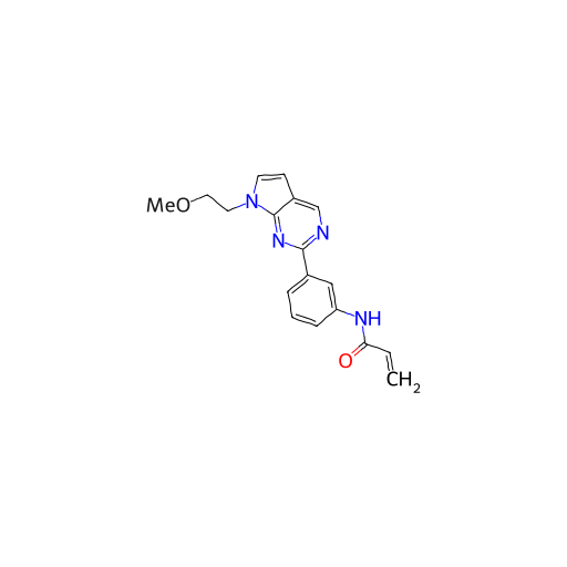 C=CC(=O)Nc1cccc(-c2ncc3ccn(CCOC)c3n2)c1